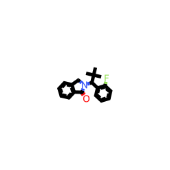 CC(C)(C)C(c1ccccc1F)N1Cc2ccccc2C1=O